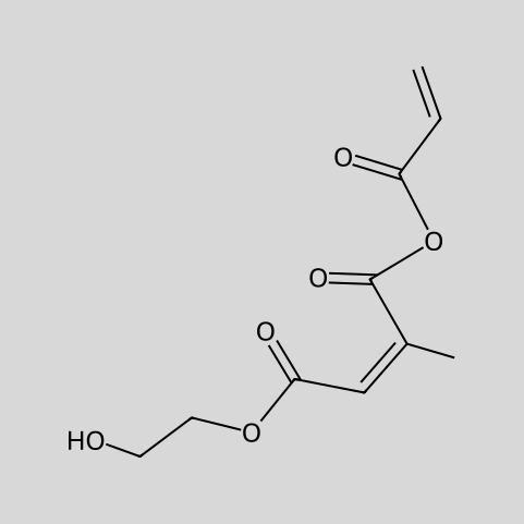 C=CC(=O)OC(=O)/C(C)=C\C(=O)OCCO